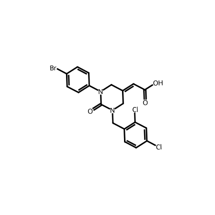 O=C(O)C=C1CN(Cc2ccc(Cl)cc2Cl)C(=O)N(c2ccc(Br)cc2)C1